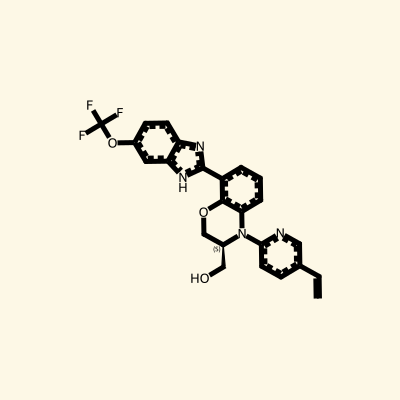 C=Cc1ccc(N2c3cccc(-c4nc5ccc(OC(F)(F)F)cc5[nH]4)c3OC[C@@H]2CO)nc1